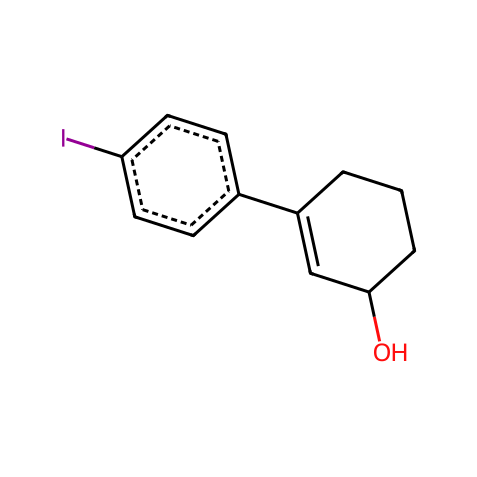 OC1C=C(c2ccc(I)cc2)CCC1